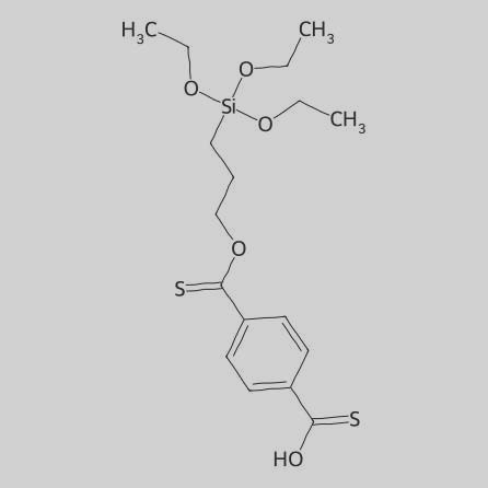 CCO[Si](CCCOC(=S)c1ccc(C(O)=S)cc1)(OCC)OCC